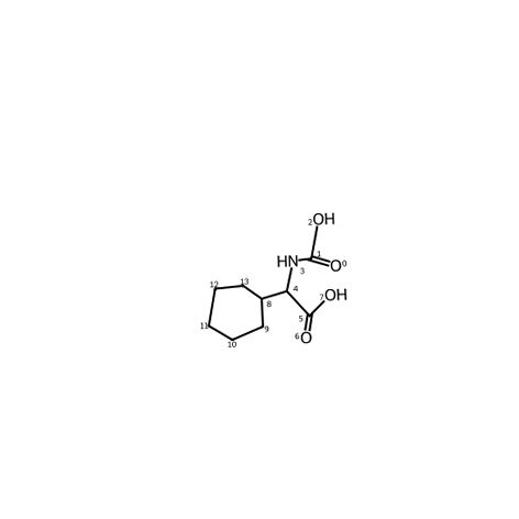 O=C(O)NC(C(=O)O)C1CCCCC1